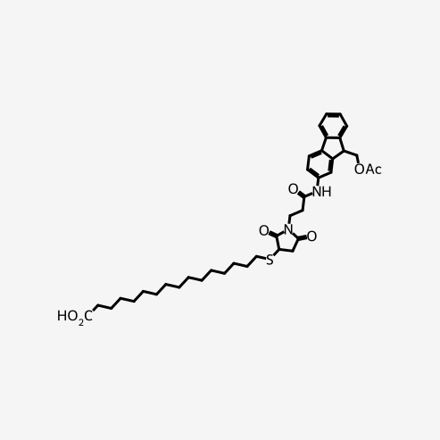 CC(=O)OCC1c2ccccc2-c2ccc(NC(=O)CCN3C(=O)CC(SCCCCCCCCCCCCCCCC(=O)O)C3=O)cc21